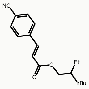 CCCCC(CC)COC(=O)C=Cc1ccc(C#N)cc1